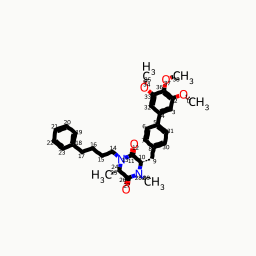 COc1cc(-c2ccc(C[C@H]3C(=O)N(CCCCc4ccccc4)[C@@H](C)C(=O)N3C)cc2)cc(OC)c1OC